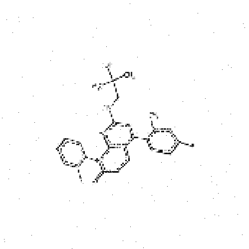 Cc1cc(F)ccc1-c1nc(NCC(C)(C)O)nc2c1ccc(=O)n2-c1ccccc1F